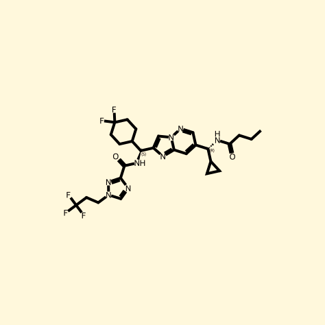 CCCC(=O)N[C@@H](c1cnn2cc([C@@H](NC(=O)c3ncn(CCC(F)(F)F)n3)C3CCC(F)(F)CC3)nc2c1)C1CC1